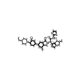 CCN1CCN(c2ccc(-c3cc(F)c4c(c3)C(=O)N(C(C(=O)Nc3nccs3)c3ncn5c3CC(F)C5)C4)cc2Cl)CC1